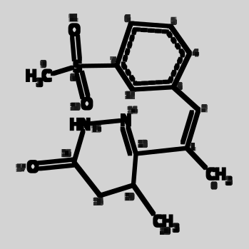 CC(=Cc1cccc(S(C)(=O)=O)c1)C1=NNC(=O)CC1C